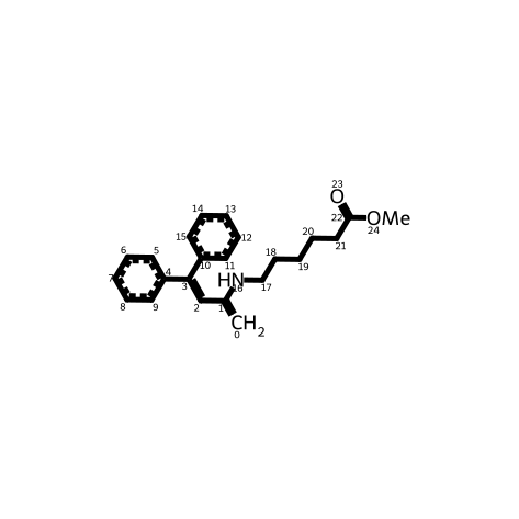 C=C(C=C(c1ccccc1)c1ccccc1)NCCCCCC(=O)OC